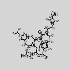 CC(C)c1cc2n(n1)CC(=O)N(CC(CC(C)c1cc3n(n1)CC(=O)N(CCN1CC(O)C1)CC3)N1CC(F)C1)CC2